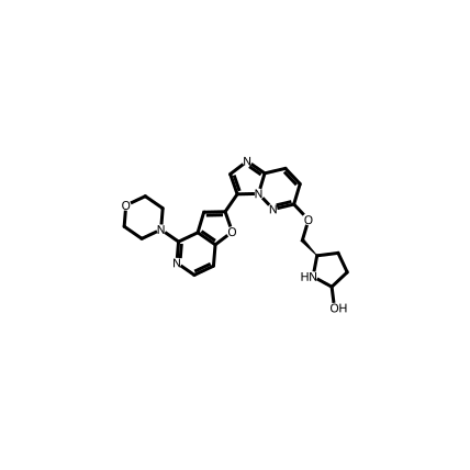 OC1CC[C@H](COc2ccc3ncc(-c4cc5c(N6CCOCC6)nccc5o4)n3n2)N1